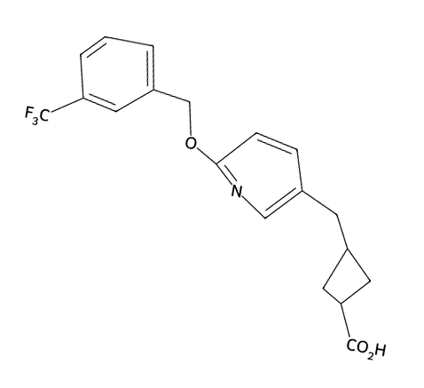 O=C(O)C1CC(Cc2ccc(OCc3cccc(C(F)(F)F)c3)nc2)C1